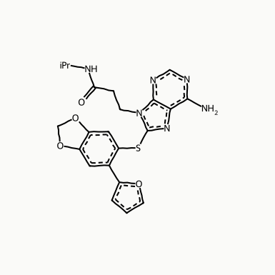 CC(C)NC(=O)CCn1c(Sc2cc3c(cc2-c2ccco2)OCO3)nc2c(N)ncnc21